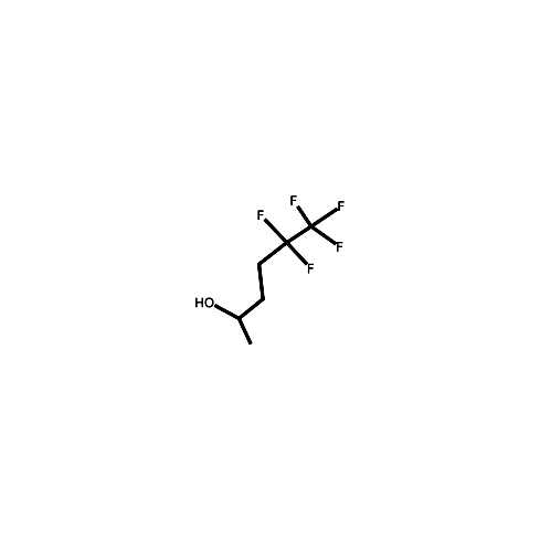 CC(O)CCC(F)(F)C(F)(F)F